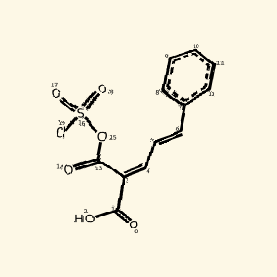 O=C(O)C(=CC=Cc1ccccc1)C(=O)OS(=O)(=O)Cl